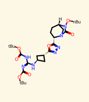 CCCCON1C(=O)N2C[C@@H]1CC[C@H]2c1nnc([C@H]2C[C@H](N/C(=N\C(=O)OC(C)(C)C)NC(=O)OC(C)(C)C)C2)o1